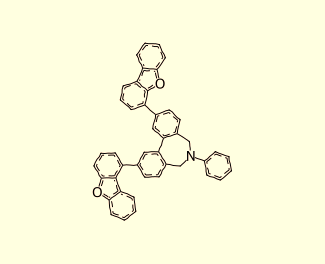 c1ccc(N2Cc3ccc(-c4cccc5c4oc4ccccc45)cc3-c3cc(-c4cccc5oc6ccccc6c45)ccc3C2)cc1